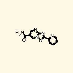 NC(=O)c1cnc2nc(-c3ccccn3)nn2c1